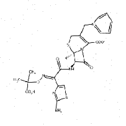 CC(C)(O/N=C(/C(=O)N[C@@H]1C(=O)N2C(C(=O)[O-])=C(C[n+]3ccccc3)CS[C@H]12)c1csc(N)n1)C(=O)O